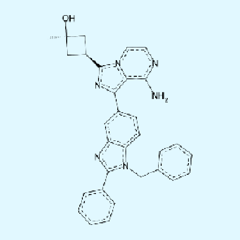 C[C@]1(O)C[C@@H](c2nc(-c3ccc4c(c3)nc(-c3ccccc3)n4Cc3ccccc3)c3c(N)nccn32)C1